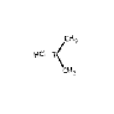 Cl.[CH3][Ti][CH3]